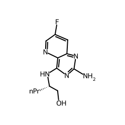 CCC[C@@H](CO)Nc1nc(N)nc2cc(F)cnc12